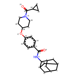 O=C(NC1C2CC3CC(C2)CC1C3)c1ccc(OC2CCN(C(=O)C3CC3)CC2)cc1